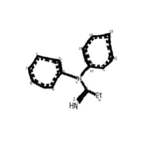 CCC(=N)N(c1ccccc1)c1ccccc1